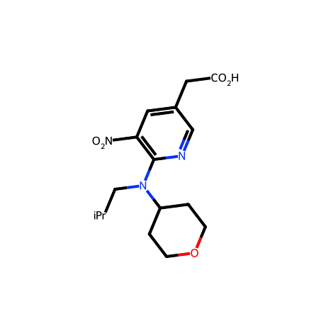 CC(C)CN(c1ncc(CC(=O)O)cc1[N+](=O)[O-])C1CCOCC1